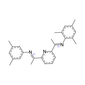 C/C(=N\c1cc(C)cc(C)c1)c1cccc(/C(C)=N/c2c(C)cc(C)cc2C)n1